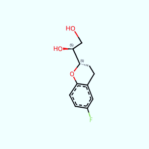 OC[C@H](O)[C@@H]1CCc2cc(F)ccc2O1